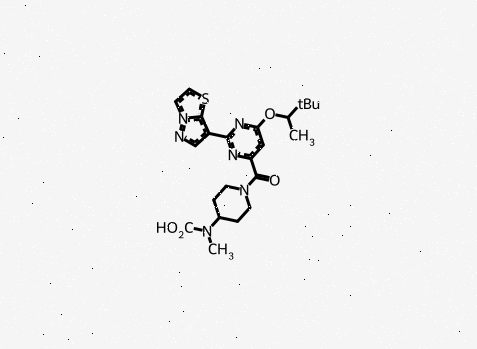 CC(Oc1cc(C(=O)N2CCC(N(C)C(=O)O)CC2)nc(-c2cnn3ccsc23)n1)C(C)(C)C